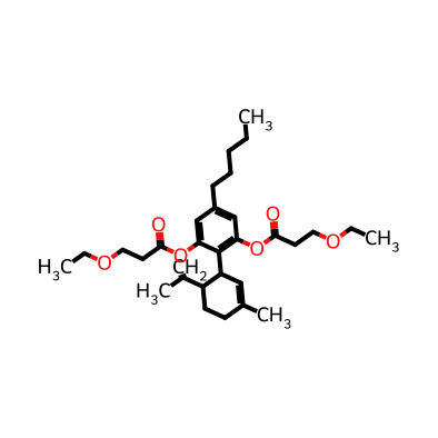 C=C(C)C1CCC(C)=CC1c1c(OC(=O)CCOCC)cc(CCCCC)cc1OC(=O)CCOCC